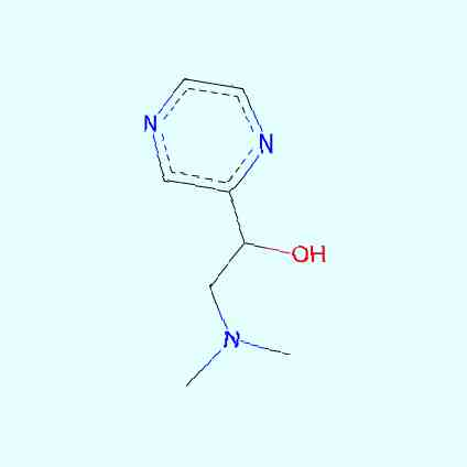 CN(C)CC(O)c1cnccn1